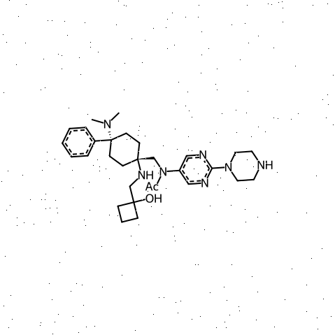 CC(=O)N(C[C@]1(NCC2(O)CCC2)CC[C@@](c2ccccc2)(N(C)C)CC1)c1cnc(N2CCNCC2)nc1